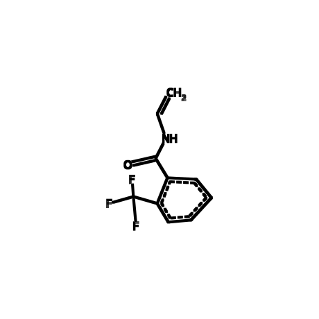 C=CNC(=O)c1ccccc1C(F)(F)F